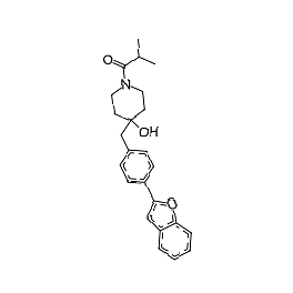 CC(C)C(=O)N1CCC(O)(Cc2ccc(-c3cc4ccccc4o3)cc2)CC1